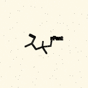 C=CC(C)CC(C)(C)CCCCCC